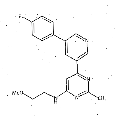 COCCNc1cc(-c2cncc(-c3ccc(F)cc3)c2)nc(C)n1